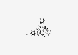 COc1ccc(S(=O)(=O)N(CC(C)C)C[C@@H](O)[C@H](Cc2ccccc2)NC(=O)OC2CCOC2)cc1